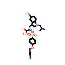 CC#CCOc1ccc(S(=O)(=O)N[C@@H](Cc2cn(CC(C)C)c3ccc(Cl)cc23)C(=O)O)cc1